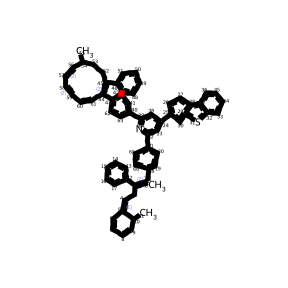 C/C(=C(\C/C=C1/C=CC=CC1C)c1ccccc1)c1ccc(-c2cc(-c3ccc4c(c3)sc3ccccc34)cc(-c3ccc(/C4=C(\c5ccccc5)CCC(C)/C=C\C=C/C=C4)cc3)n2)cc1